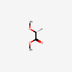 CC(C)OC(=O)[C@@H](C)OC(C)C